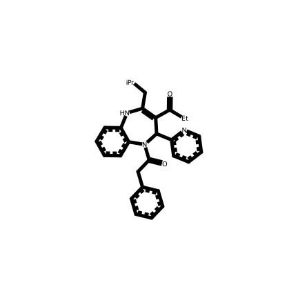 CCC(=O)C1=C(CC(C)C)Nc2ccccc2N(C(=O)Cc2ccccc2)C1c1ccccn1